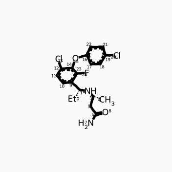 CC[C@@H](N[C@H](C)CC(N)=O)c1ccc(Cl)c(Oc2ccc(Cl)cc2)c1F